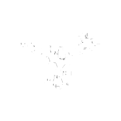 CNC(=O)COc1cc2cc(Nc3nc(Cl)ncc3Cl)cc(OCCC[C@H]3CNC[C@@H](C)C3(F)F)c2n(C)c1=O